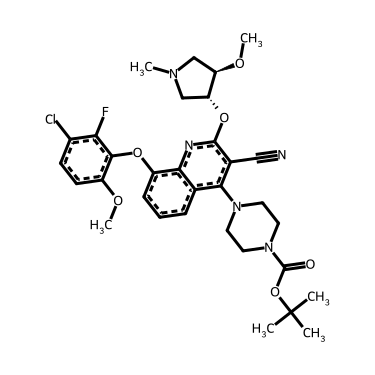 COc1ccc(Cl)c(F)c1Oc1cccc2c(N3CCN(C(=O)OC(C)(C)C)CC3)c(C#N)c(O[C@@H]3CN(C)C[C@H]3OC)nc12